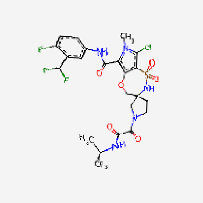 C[C@@H](NC(=O)C(=O)N1CC[C@]2(COc3c(c(Cl)n(C)c3C(=O)Nc3ccc(F)c(C(F)F)c3)S(=O)(=O)N2)C1)C(F)(F)F